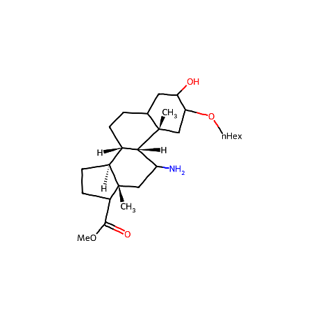 CCCCCCOC1C[C@@]2(C)C(CC[C@@H]3[C@H]2C(N)C[C@]2(C)C(C(=O)OC)CC[C@@H]32)CC1O